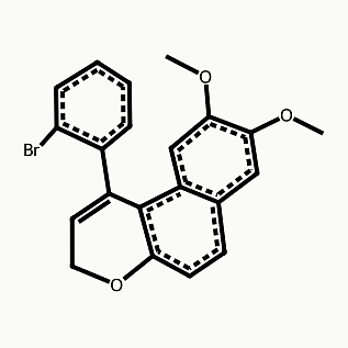 COc1cc2ccc3c(c2cc1OC)C(c1ccccc1Br)=CCO3